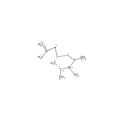 C=C(C)CCCC(C)N(C)C(C)C